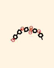 COc1ccc(-c2ccc(Oc3ccc(S(=O)(=O)c4ccc(Oc5ccc(C)cc5)cc4)cc3)cc2)cc1